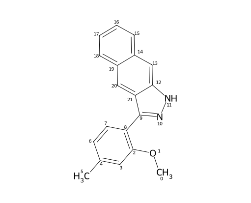 COc1cc(C)ccc1-c1n[nH]c2cc3ccccc3cc12